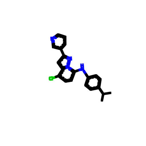 CC(C)c1ccc(Nc2ccc(Cl)c3cc(-c4cccnc4)nn23)cc1